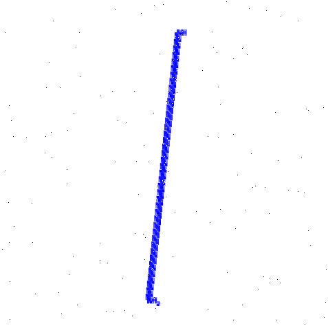 N=N/N=N/N=N/N=N/N=N/N=N/N=N/N=N/N=N/N=N/N=N/N=N/N=N/N=N/N=N/N=N/N=N/N=N/N=N/N=N/N=N/N=N/N=N/N=N/N=N/N=N/N=N/N=N/N=N/N=N/N=N/N=N/N=N/N=N/N=N/N=N/N=N/N=N/N=N/N=N/N=N/N